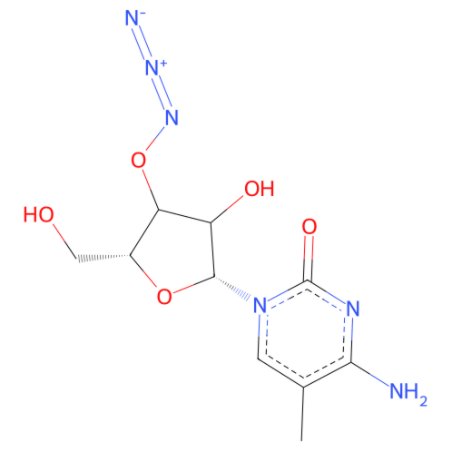 Cc1cn([C@@H]2O[C@H](CO)C(ON=[N+]=[N-])C2O)c(=O)nc1N